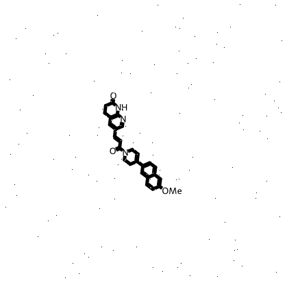 COc1ccc2cc(C3=CCN(C(=O)C=Cc4cnc5c(c4)CCC(=O)N5)CC3)ccc2c1